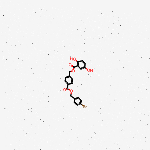 O=C(OCc1ccc(Br)cc1)c1ccc(COC(=O)c2cc(O)ccc2O)cc1